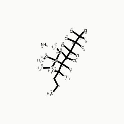 CCCC(C)(C)C(Cl)(C(Cl)(Cl)C(Cl)(Cl)C(Cl)(Cl)C(Cl)(Cl)Cl)[Si](OC)(OC)OC.N